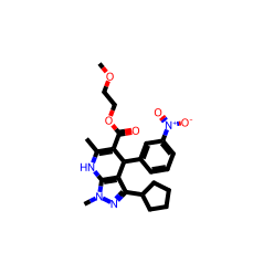 COCCOC(=O)C1=C(C)Nc2c(c(C3CCCC3)nn2C)C1c1cccc([N+](=O)[O-])c1